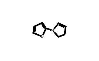 C1=C[N]C(N2C=CCC2)=C1